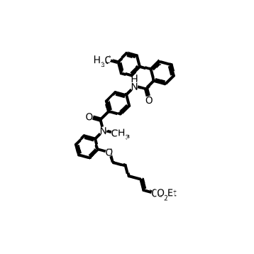 CCOC(=O)/C=C/CCCOc1ccccc1N(C)C(=O)c1ccc(NC(=O)c2ccccc2-c2ccc(C)cc2)cc1